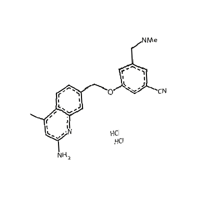 CNCc1cc(C#N)cc(OCc2ccc3c(C)cc(N)nc3c2)c1.Cl.Cl